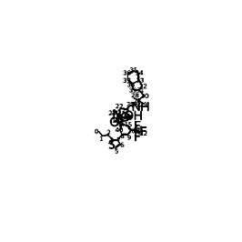 CCCc1sccc1-c1cc(C(F)(F)F)cc(S(=O)(=O)N(C)C[C@H](O)CNC(C)(C)CC2Cc3ccccc3C2)c1